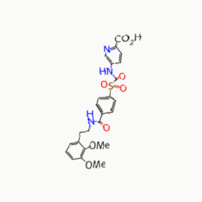 COc1cccc(CCNC(=O)c2ccc(S(=O)(=O)C(=O)Nc3ccc(C(=O)O)nc3)cc2)c1OC